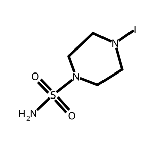 NS(=O)(=O)N1CCN(I)CC1